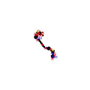 CCOc1cc(C(C[S+](C)[O-])N2C(=O)c3cccc(NC(=O)CCCCCCCCCCN(C)Cc4ccc(OCc5scc6c5CN(C5CCC(=O)NC5=O)C6=O)cc4)c3C2=O)ccc1OC